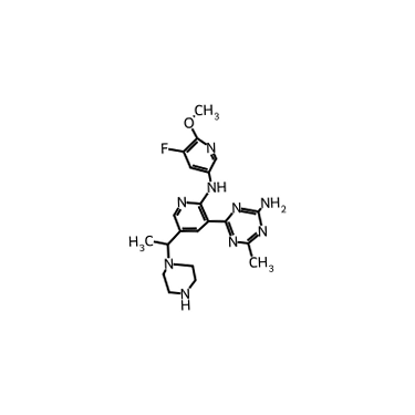 COc1ncc(Nc2ncc(C(C)N3CCNCC3)cc2-c2nc(C)nc(N)n2)cc1F